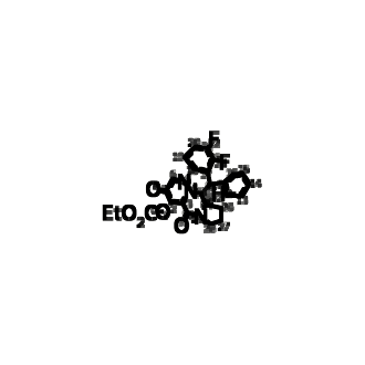 CCOC(=O)Oc1c2n(ncc1=O)[C@@H](C(c1ccccc1)c1cccc(F)c1F)[C@H]1CCCN1C2=O